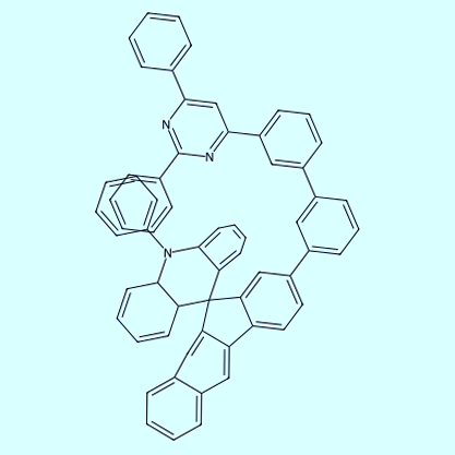 C1=CC2C(C=C1)C1(c3cc(-c4cccc(-c5cccc(-c6cc(-c7ccccc7)nc(-c7ccccc7)n6)c5)c4)ccc3-c3cc4ccccc4cc31)c1ccccc1N2c1ccccc1